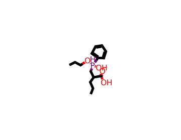 CCCO[PH](O)(CC(CCC)C(=O)O)c1ccccc1